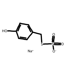 O=S(=O)([O-])SCc1ccc(O)cc1.[Na+]